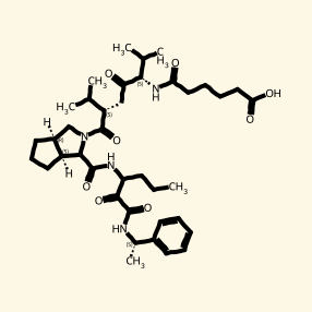 CCCC(NC(=O)C1[C@H]2CCC[C@H]2CN1C(=O)[C@@H](CC(=O)[C@@H](NC(=O)CCCCC(=O)O)C(C)C)C(C)C)C(=O)C(=O)N[C@@H](C)c1ccccc1